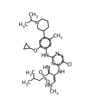 CN/C=C(/Nc1nc(Nc2cc(C)c(C3CCCN(C(C)C)C3)cc2OC2CC2)ncc1Cl)C(=N)S(=O)(=O)CC(C)C